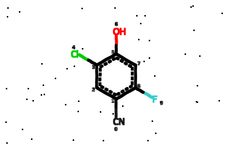 N#Cc1cc(Cl)c(O)cc1F